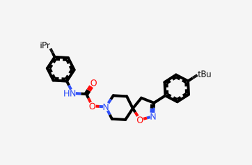 CC(C)c1ccc(NC(=O)ON2CCC3(CC2)CC(c2ccc(C(C)(C)C)cc2)=NO3)cc1